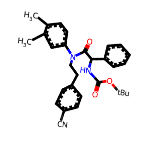 Cc1ccc(N(CCc2ccc(C#N)cc2)C(=O)C(NC(=O)OC(C)(C)C)c2ccccc2)cc1C